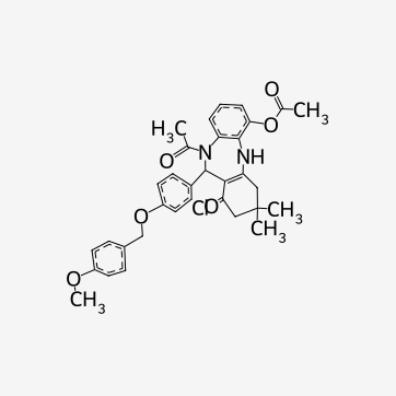 COc1ccc(COc2ccc(C3C4=C(CC(C)(C)CC4=O)Nc4c(OC(C)=O)cccc4N3C(C)=O)c(Cl)c2)cc1